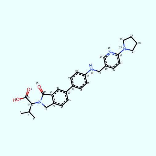 CC(C)[C@@H](C(=O)O)N1Cc2ccc(-c3ccc(NCc4ccc(N5CCCC5)nc4)cc3)cc2C1=O